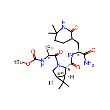 CC1(C)CCC(C[C@H](NC(=O)[C@@H]2[C@@H]3[C@H](CN2C(=O)[C@@H](NC(=O)OC(C)(C)C)C(C)(C)C)C3(C)C)C(N)=O)C(=O)N1